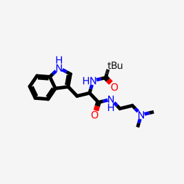 CN(C)CCNC(=O)C(Cc1c[nH]c2ccccc12)NC(=O)C(C)(C)C